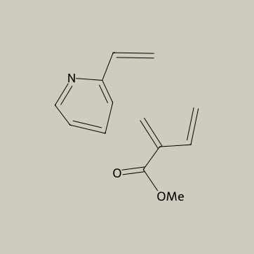 C=CC(=C)C(=O)OC.C=Cc1ccccn1